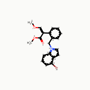 COC=C(C(=O)OC)c1ccccc1Cn1ccc2c(Br)cccc21